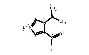 CC(C)n1cncc1S(=O)[O-].[Li+]